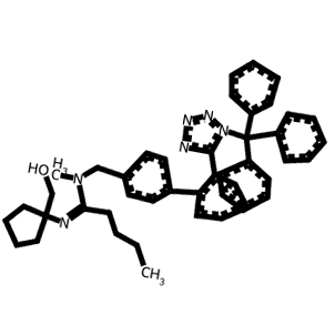 CCCC/C(=N/C1(CO)CCCC1)N(C)Cc1ccc(-c2ccccc2-c2nnnn2C(c2ccccc2)(c2ccccc2)c2ccccc2)cc1